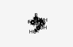 CC(C)(O)[C@H]1C[C@@H](O)[C@H](Nc2ncnc3[nH]nc(C(=O)N4C[C@@H](F)C[C@@H]4c4cccc(F)c4)c23)C1